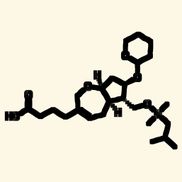 CC(C)C[Si](C)(C)OC[C@@H]1[C@H]2CC=C(CCCC(=O)O)CO[C@H]2C[C@H]1OC1CCCCO1